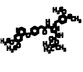 COc1ccc(Cn2nc(NC(=O)OC(C)(C)C)cc2NC(=O)Cc2ccc(Oc3ccnc4cc(OC)c(OC)cc34)cc2)cc1OC